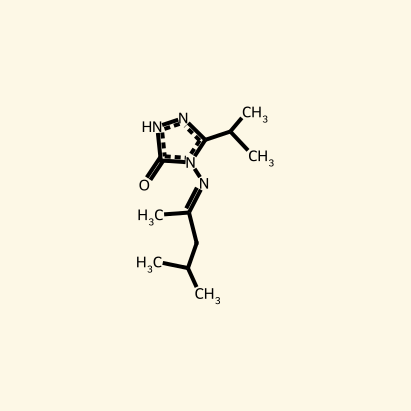 C/C(CC(C)C)=N\n1c(C(C)C)n[nH]c1=O